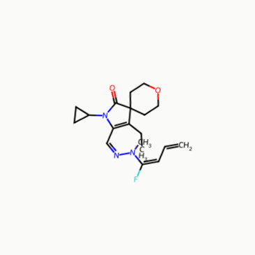 C=C/C=C(/F)N(C)/N=C\C1=C(CC)C2(CCOCC2)C(=O)N1C1CC1